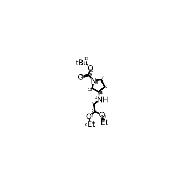 CCOC(CN[C@H]1CCN(C(=O)OC(C)(C)C)C1)OCC